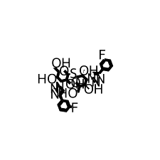 OCC1O[C@@H](S[C@@H]2OC(CO)[C@H](O)[C@H](n3cc(-c4cccc(F)c4)nn3)C2O)[C@H](O)C(n2cc(-c3cccc(F)c3)nn2)[C@H]1O